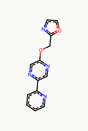 c1ccc(-c2cnc(OCc3ncco3)cn2)nc1